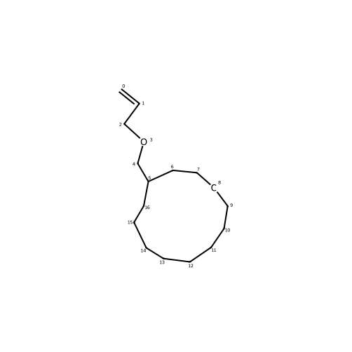 C=CCOCC1CCCCCCCCCCC1